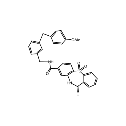 COc1ccc(Cc2cccc(CNC(=O)c3ccc4c(c3)NC(=O)c3ccccc3S4(=O)=O)c2)cc1